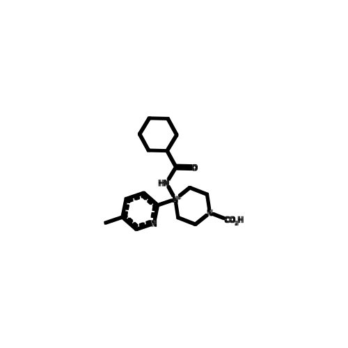 Cc1ccc([N+]2(NC(=O)C3CCCCC3)CCN(C(=O)O)CC2)nc1